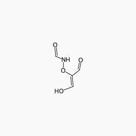 O=CNO/C(C=O)=C\O